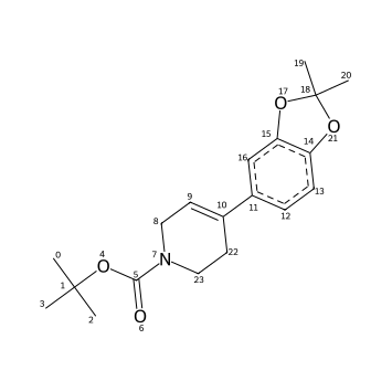 CC(C)(C)OC(=O)N1CC=C(c2ccc3c(c2)OC(C)(C)O3)CC1